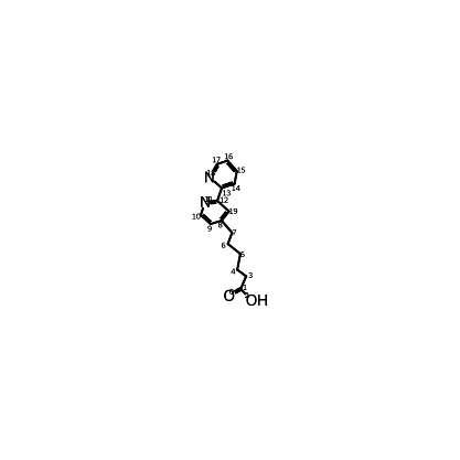 O=C(O)CCCCCc1ccnc(-c2ccccn2)c1